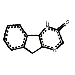 O=c1cnc2c([nH]1)-c1ccccc1C2